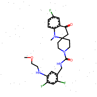 COCCNc1cc(CNC(=O)N2CCC3(CC2)CC(=O)c2cc(F)ccc2N3C)c(F)cc1F